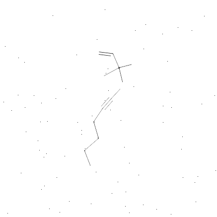 CCCCC#COC(C)(C)[C]=O